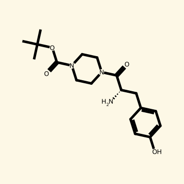 CC(C)(C)OC(=O)N1CCN(C(=O)[C@@H](N)Cc2ccc(O)cc2)CC1